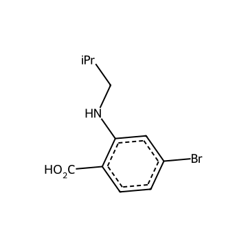 CC(C)CNc1cc(Br)ccc1C(=O)O